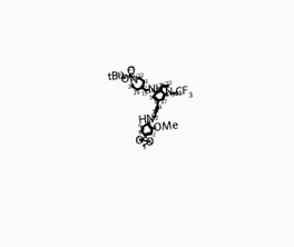 COc1cc(S(C)(=O)=O)ccc1NCC#Cc1cc(NCC2CCN(C(=O)OC(C)(C)C)CC2)c2ccn(CC(F)(F)F)c2c1